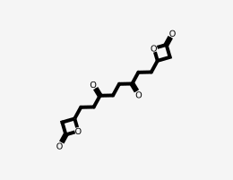 O=C(CCC(=O)CCC1CC(=O)O1)CCC1CC(=O)O1